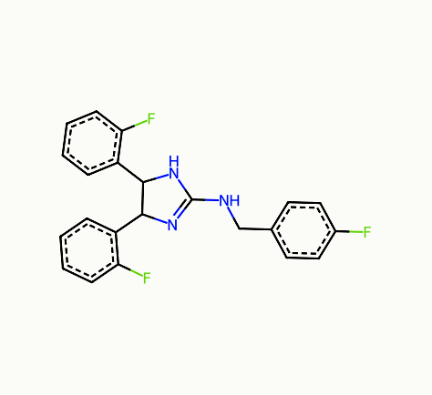 Fc1ccc(CNC2=NC(c3ccccc3F)C(c3ccccc3F)N2)cc1